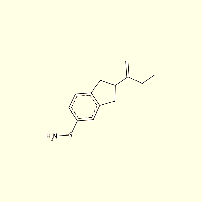 C=C(CC)C1Cc2ccc(SN)cc2C1